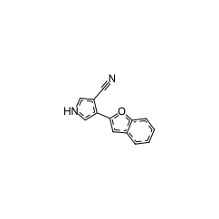 N#Cc1c[nH]cc1-c1cc2ccccc2o1